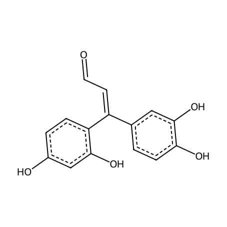 O=CC=C(c1ccc(O)c(O)c1)c1ccc(O)cc1O